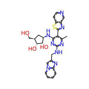 Cc1nc(NCc2cn3ccccc3n2)nc(N[C@@H]2C[C@H](CO)[C@@H](O)[C@H]2O)c1-c1nc2cnccc2s1